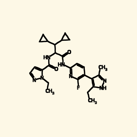 CCc1[nH]nc(C)c1-c1ccc(NC(=O)C(NC(=O)c2ccnn2CC)C(C2CC2)C2CC2)nc1F